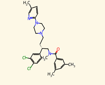 Cc1ccc(N2CCN(CC[C@H](CN(C)C(=O)c3cc(C)cc(C)c3)c3ccc(Cl)c(Cl)c3)CC2)nc1